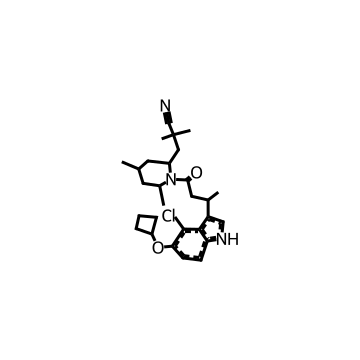 CC1CC(C)N(C(=O)CC(C)c2c[nH]c3ccc(OC4CCC4)c(Cl)c23)C(CC(C)(C)C#N)C1